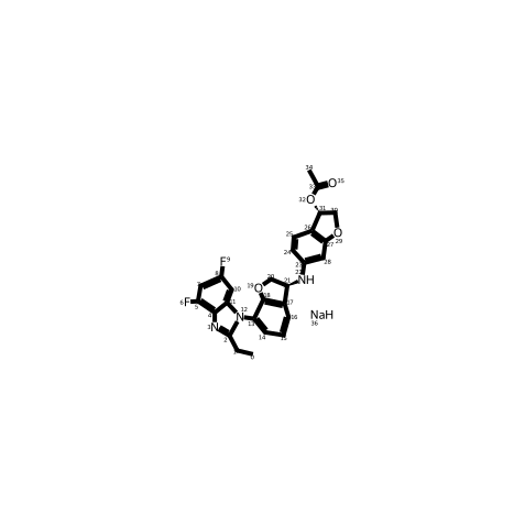 CCc1nc2c(F)cc(F)cc2n1-c1cccc2c1OC[C@H]2Nc1ccc2c(c1)OC[C@H]2OC(C)=O.[NaH]